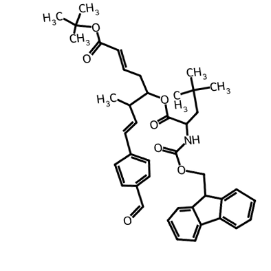 CC(/C=C/c1ccc(C=O)cc1)C(C/C=C/C(=O)OC(C)(C)C)OC(=O)C(CC(C)(C)C)NC(=O)OCC1c2ccccc2-c2ccccc21